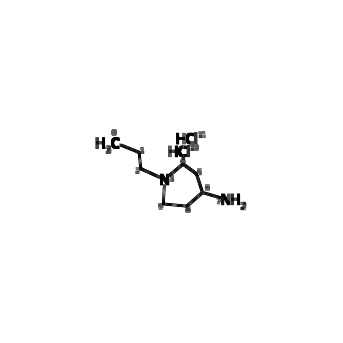 CCCN1CCC(N)CC1.Cl.Cl